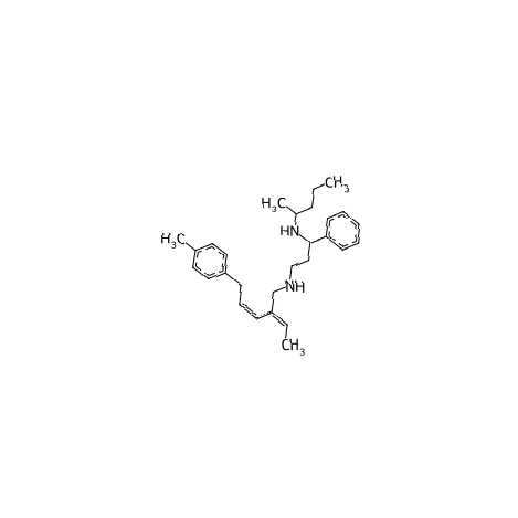 C/C=C(\C=C/Cc1ccc(C)cc1)CNCCC(NC(C)CCC)c1ccccc1